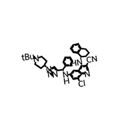 CC(C)(C)N1CCC(n2cc([C@@H](Nc3cc(Cl)c4ncc(C#N)c(N[C@@H]5CCCc6ccccc65)c4c3)c3ccccc3)nn2)CC1